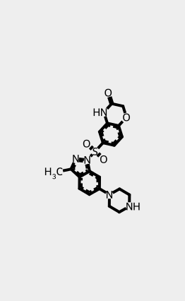 Cc1nn(S(=O)(=O)c2ccc3c(c2)NC(=O)CO3)c2cc(N3CCNCC3)ccc12